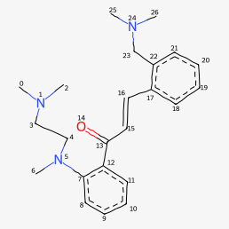 CN(C)CCN(C)c1ccccc1C(=O)/C=C/c1ccccc1CN(C)C